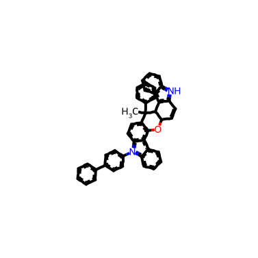 CC1(c2ccccc2)c2ccc3c(c2OC2C=Cc4[nH]c5ccccc5c4C21)c1ccccc1n3-c1ccc(-c2ccccc2)cc1